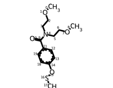 COCCN(CCOC)C(=O)c1ccc(OSC)cc1